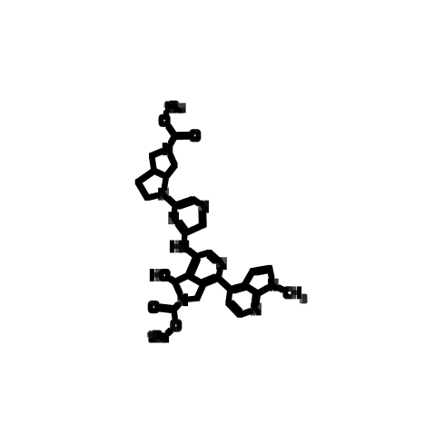 Cn1ccc2c(-c3ncc(Nc4cncc(N5CCC6CN(C(=O)OC(C)(C)C)CC65)n4)c4c3CN(C(=O)OC(C)(C)C)C4O)ccnc21